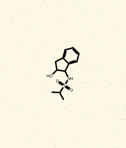 CC(C)S(=O)(=O)NC1c2ccccc2CC1O